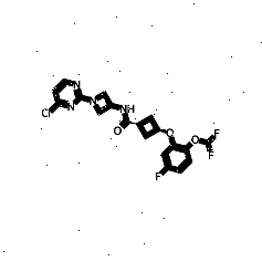 O=C(NC1CN(c2nccc(Cl)n2)C1)[C@H]1C[C@H](Oc2cc(F)ccc2OC(F)F)C1